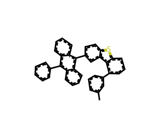 Cc1cccc(-c2cccc3sc4ccc(-c5c6ccccc6c(-c6ccccc6)c6ccccc56)cc4c23)c1